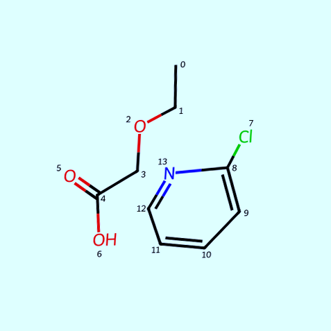 CCOCC(=O)O.Clc1ccccn1